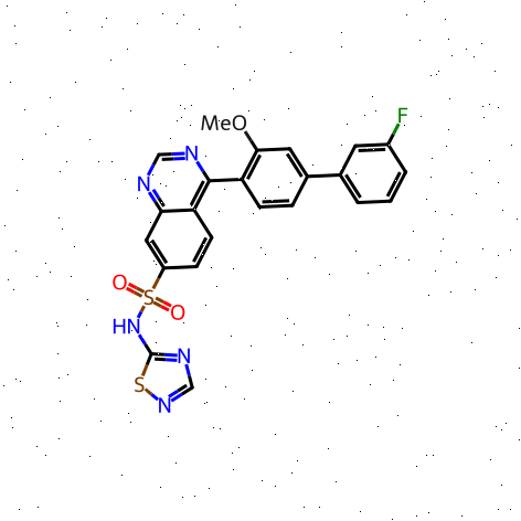 COc1cc(-c2cccc(F)c2)ccc1-c1ncnc2cc(S(=O)(=O)Nc3ncns3)ccc12